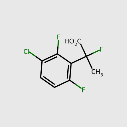 CC(F)(C(=O)O)c1c(F)ccc(Cl)c1F